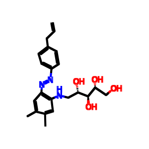 C=CCc1ccc(N=Nc2cc(C)c(C)cc2NC[C@H](O)[C@H](O)[C@H](O)CO)cc1